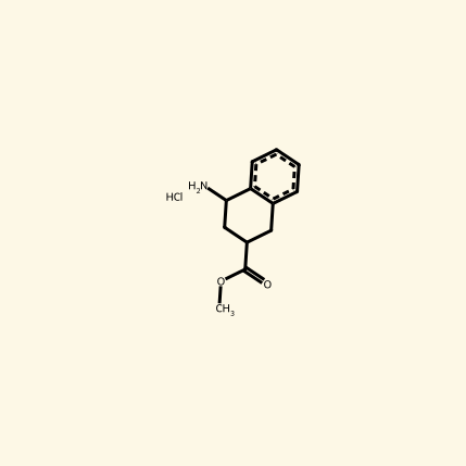 COC(=O)C1Cc2ccccc2C(N)C1.Cl